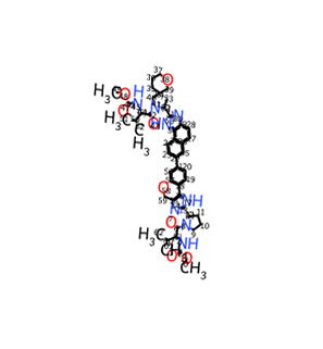 COC(=O)N[C@H](C(=O)N1CCC[C@H]1c1nc2c([nH]1)-c1ccc(-c3ccc4c(ccc5nc([C@@H]6C[C@@]7(CCCOC7)CN6C(=O)[C@@H](NC(=O)OC)C(C)C)[nH]c54)c3)cc1OC2)C(C)C